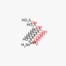 O=S(=O)(O)O.O=S(=O)(O)O.O=S(=O)(O)O.O=S(=O)(O)O.O=S(=O)(O)O.O=S(=O)(O)O.O=S(=O)(O)O.O=S(=O)(O)O.[SnH2].[SnH2]